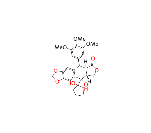 COc1cc([C@@H]2c3cc4c(cc3[C@](O)(C3(O)CCCC3)[C@H]3COC(=O)[C@H]23)OCO4)cc(OC)c1OC